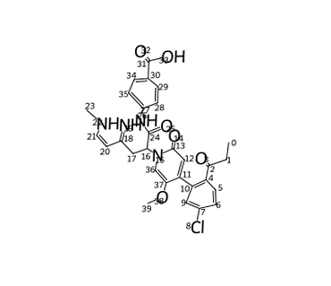 CCC(=O)c1ccc(Cl)cc1-c1cc(=O)n(C(CC(=N)/C=C\NC)C(=O)Nc2ccc(C(=O)O)cc2)cc1OC